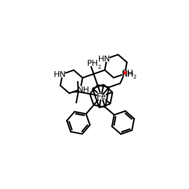 CC(C)(C)[C]12[C]3(c4ccccc4)[C]4(c5ccccc5)[C]5(CP)[C]1(C(P)(C1CNCCN1)C1CNCCN1)[Fe]54321678[CH]2[CH]1[CH]6[CH]7[CH]28